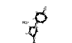 CC(N)c1cn(-c2ccc(Cl)cc2)cn1.Cl